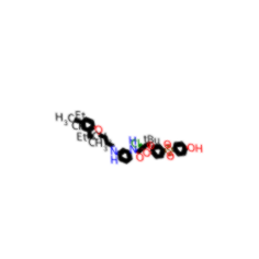 CCC(C)(C)c1ccc(OCCCCNc2cccc(NC(=O)C(Cl)(Oc3ccc(S(=O)(=O)c4ccc(O)cc4)cc3)C(=O)C(C)(C)C)c2)c(C(C)(C)CC)c1